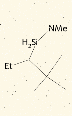 CCC([SiH2]NC)C(C)(C)C